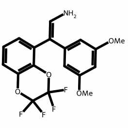 COc1cc(OC)cc(C(=CN)c2cccc3c2OC(F)(F)C(F)(F)O3)c1